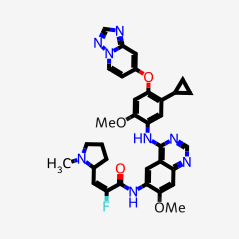 COc1cc2ncnc(Nc3cc(C4CC4)c(Oc4ccn5ncnc5c4)cc3OC)c2cc1NC(=O)/C(F)=C\C1CCCN1C